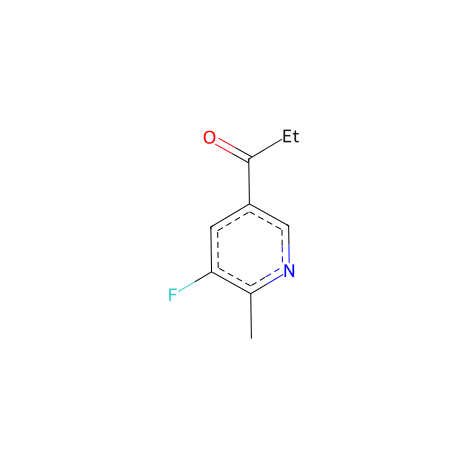 CCC(=O)c1cnc(C)c(F)c1